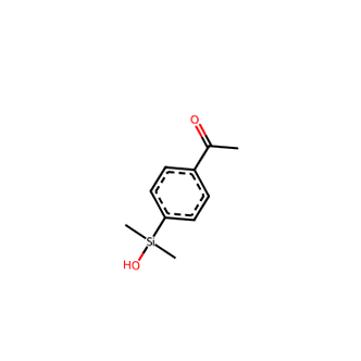 CC(=O)c1ccc([Si](C)(C)O)cc1